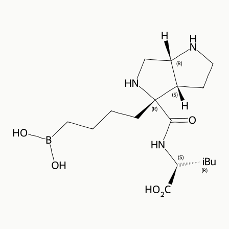 CC[C@@H](C)[C@H](NC(=O)[C@]1(CCCCB(O)O)NC[C@@H]2NCC[C@@H]21)C(=O)O